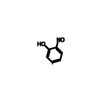 O=Nc1cc[c]cc1O